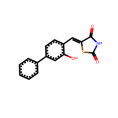 O=C1NC(=O)C(=Cc2ccc(-c3ccccc3)cc2O)S1